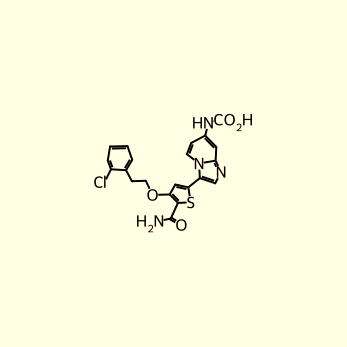 NC(=O)c1sc(-c2cnc3cc(NC(=O)O)ccn23)cc1OCCc1ccccc1Cl